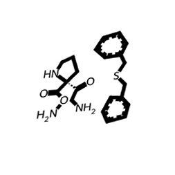 NCC(=O)[C@@]1(C(=O)ON)CCCN1.c1ccc(CSCc2ccccc2)cc1